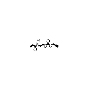 C#CCOC(=O)OCCNC(=O)C=C